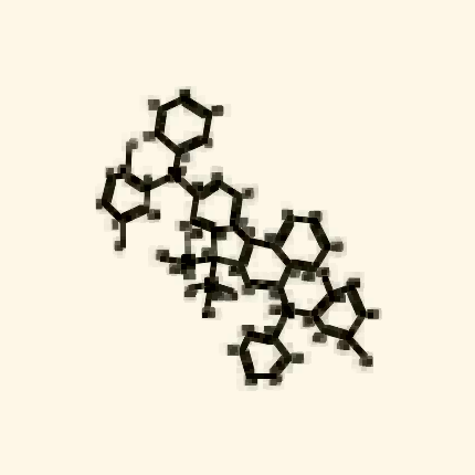 Cc1ccc(C)c(N(c2ccccc2)c2ccc3c(c2)C([Si](C)(C)C)([Si](C)(C)C)c2cc(N(c4ccccc4)c4cc(C)ccc4C)c4ccccc4c2-3)c1